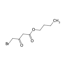 CCCCOC(=O)CC(=O)CBr